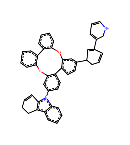 C1=CNCC(C2=CC(c3ccc4c(c3)Oc3ccccc3-c3ccccc3Oc3cc(-n5c6c(c7ccccc75)CCC=C6)ccc3-4)CC=C2)=C1